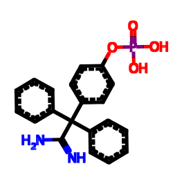 N=C(N)C(c1ccccc1)(c1ccccc1)c1ccc(OP(=O)(O)O)cc1